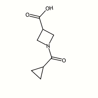 O=C(O)C1CN(C(=O)C2CC2)C1